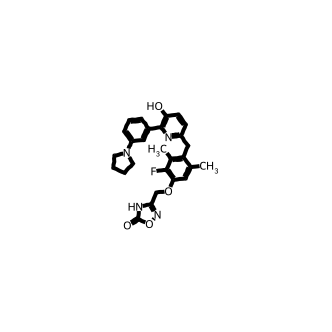 Cc1cc(OCc2noc(=O)[nH]2)c(F)c(C)c1Cc1ccc(O)c(-c2cccc(N3CCCC3)c2)n1